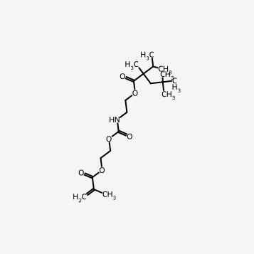 C=C(C)C(=O)OCCOC(=O)NCCOC(=O)C(C)(CC(C)(C)C)C(C)C